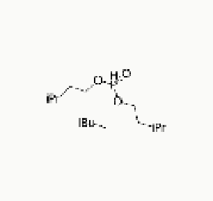 CC(C)CCO[PH](=O)OCCC(C)C.CCC(C)C